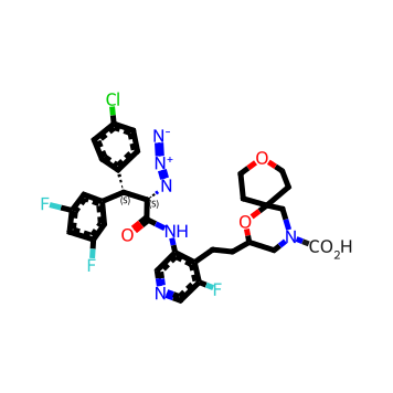 [N-]=[N+]=N[C@H](C(=O)Nc1cncc(F)c1CCC1CN(C(=O)O)CC2(CCOCC2)O1)[C@@H](c1ccc(Cl)cc1)c1cc(F)cc(F)c1